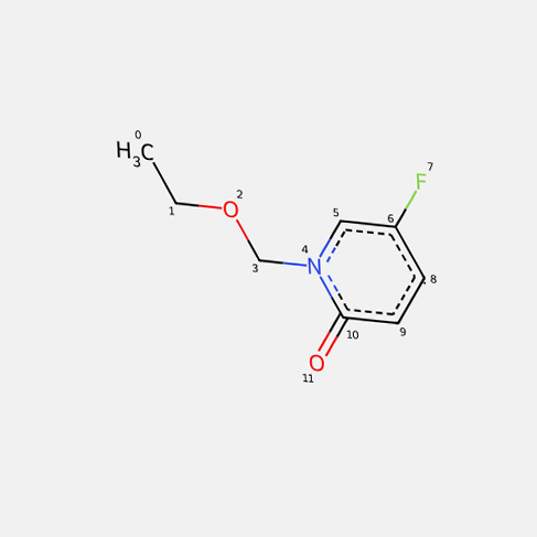 CCOCn1cc(F)[c]cc1=O